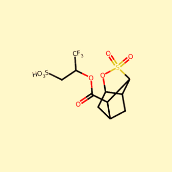 O=C(OC(CS(=O)(=O)O)C(F)(F)F)C1C2CC3OS(=O)(=O)C1C3C2